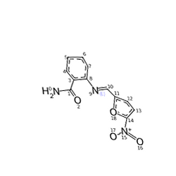 NC(=O)c1ccccc1/N=C/c1ccc([N+](=O)[O-])o1